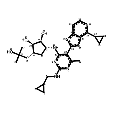 Cc1nc(NCC2CC2)nc(N[C@@H]2C[C@H](CC(C)(C)O)[C@@H](O)[C@H]2O)c1-c1nc2c(C3CC3)nccc2s1